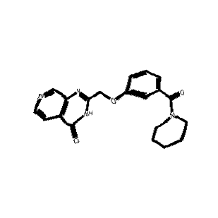 O=C(c1cccc(OCc2nc3cnccc3c(=O)[nH]2)c1)N1CCCCC1